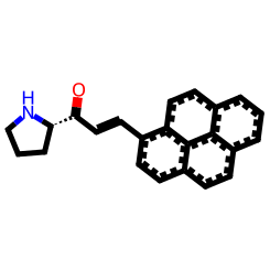 O=C(C=Cc1ccc2ccc3cccc4ccc1c2c34)[C@@H]1CCCN1